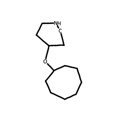 C1CCCC(OC2CCNCC2)CCC1